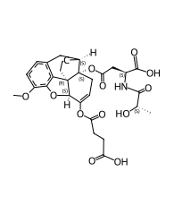 COc1ccc2c3c1O[C@@H]1C(OC(=O)CCC(=O)O)=CC[C@]4(OC(=O)C[C@H](NC(=O)[C@H](C)O)C(=O)O)[C@@H](CCC[C@@]314)C2